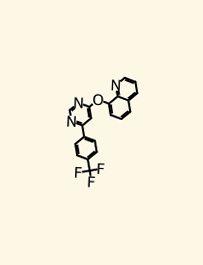 FC(F)(F)c1ccc(-c2cc(Oc3cccc4cccnc34)ncn2)cc1